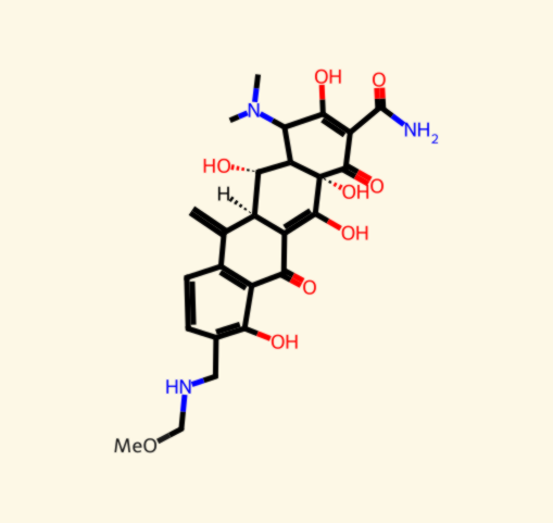 C=C1c2ccc(CNCOC)c(O)c2C(=O)C2=C(O)[C@]3(O)C(=O)C(C(N)=O)=C(O)C(N(C)C)C3[C@@H](O)[C@H]12